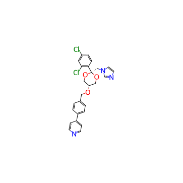 Clc1ccc([C@]2(Cn3ccnc3)OC[C@@H](OCc3ccc(-c4ccncc4)cc3)CO2)c(Cl)c1